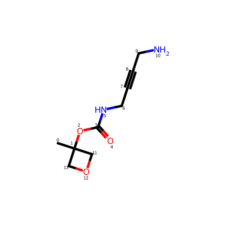 CC1(OC(=O)NCC#CCN)COC1